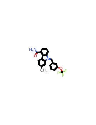 Cc1c[c]c2c3c(C(N)=O)cccc3n(Cc3cccc(OC(F)(F)F)c3)c2c1